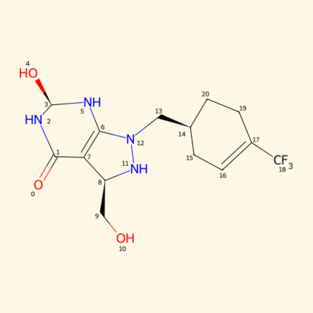 O=C1N[C@@H](O)NC2=C1[C@H](CO)NN2C[C@@H]1CC=C(C(F)(F)F)CC1